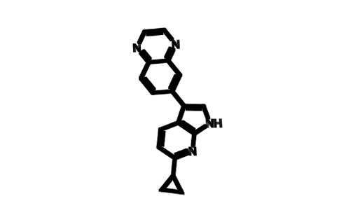 c1cnc2cc(-c3c[nH]c4nc(C5CC5)ccc34)ccc2n1